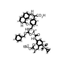 CN(Cc1cc(NC(=O)OC[C@H](NC(=O)OCc2ccccc2)c2ccc(C(Nc3ccc4cc[nH]c(=O)c4c3)C(=O)O)cc2)ccc1S(=O)(=O)C1CC1)C(=O)OC(C)(C)C